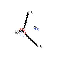 CCCCCCCCCCCCCCOCC(CC(C)(N)C(C)O)OCCCCCCCCCCCCCC.CN